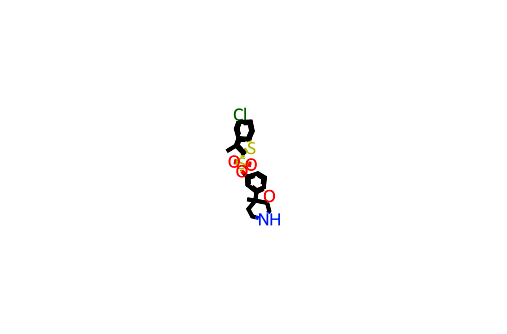 Cc1c(S(=O)(=O)Oc2ccc3c(c2)C2(C)CCNCC2O3)sc2ccc(Cl)cc12